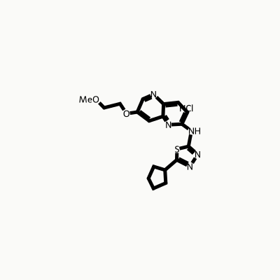 COCCOc1cnc2ccc(Nc3nnc(C4CCCC4)s3)nc2c1.Cl